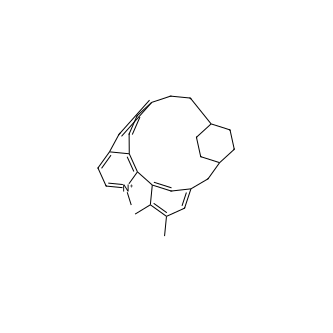 Cc1cc2cc(c1C)-c1c3ccc(cc3cc[n+]1C)CCC1CCC(CC1)C2